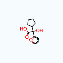 O=C(O)[C@@](O)(c1ccco1)C1CCCC1